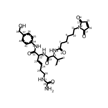 CC(C)[C@H](NC(=O)CCCCCN1C(=O)C=CC1=O)C(=O)NC(/C=C/CCNC(N)=O)C(=O)Nc1ccc(CO)cc1